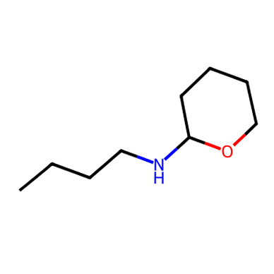 CCCCNC1CCCCO1